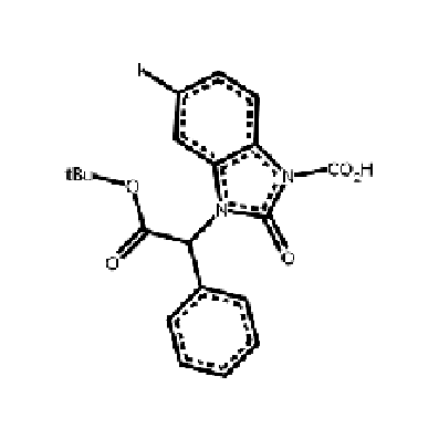 CC(C)(C)OC(=O)C(c1ccccc1)n1c(=O)n(C(=O)O)c2ccc(I)cc21